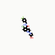 O=C(NCC1CCC(F)(F)CC1)c1c(Cl)ccc2nc(N3CCC(O)C3)ccc12